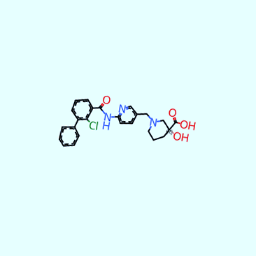 O=C(Nc1ccc(CN2CCC[C@](O)(C(=O)O)C2)cn1)c1cccc(-c2ccccc2)c1Cl